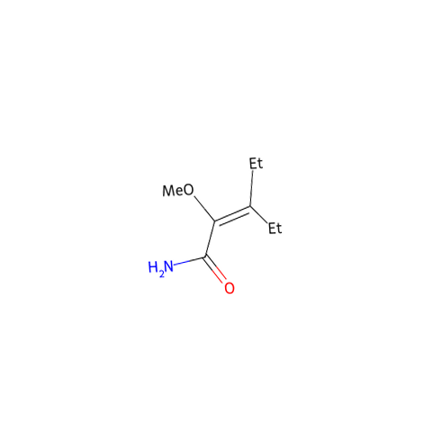 CCC(CC)=C(OC)C(N)=O